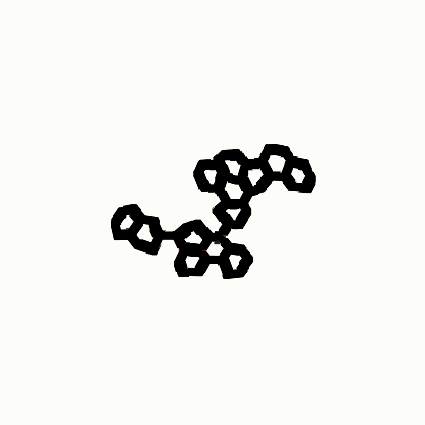 c1ccc(-c2cc(N(c3ccc(-c4ccc5ccccc5c4)cc3)c3ccccc3-c3ccccc3)ccc2-c2cc3c4ccccc4ccc3c3ccccc23)cc1